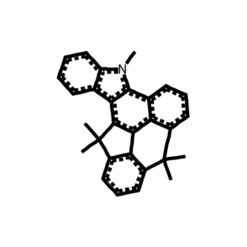 Cn1c2ccccc2c2c3c4c5c(cccc5c21)C(C)(C)c1cccc(c1-4)C3(C)C